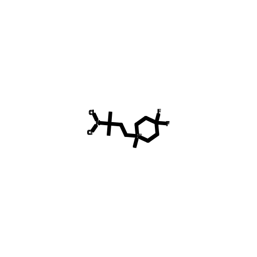 CC(C)(CC[N+]1(C)CCC(F)(F)CC1)N(Cl)Cl